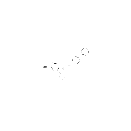 CC(C)(C)Cn1nc(OCc2ccc(-c3ccccc3)cc2)c2cnc(C#N)nc21